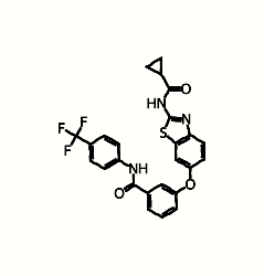 O=C(Nc1ccc(C(F)(F)F)cc1)c1cccc(Oc2ccc3nc(NC(=O)C4CC4)sc3c2)c1